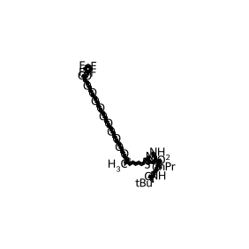 CCCN(OCCNC(=O)CC(C)(C)C)C(=O)C1=Cc2sc(CCCCCN(C)CCOCCOCCOCCOCCOCCOCCOCCOCCOCCOCCC(=O)Oc3c(F)c(F)cc(F)c3F)cc2N=C(N)C1